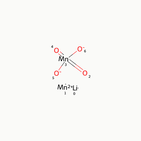 [Li].[Mn+2].[O]=[Mn](=[O])([O-])[O-]